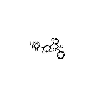 O=C(C=C(O)c1nn[nH]n1)c1occc1S(=O)(=O)c1ccccc1